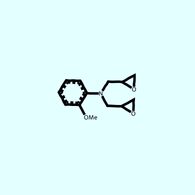 COc1ccccc1N(CC1CO1)CC1CO1